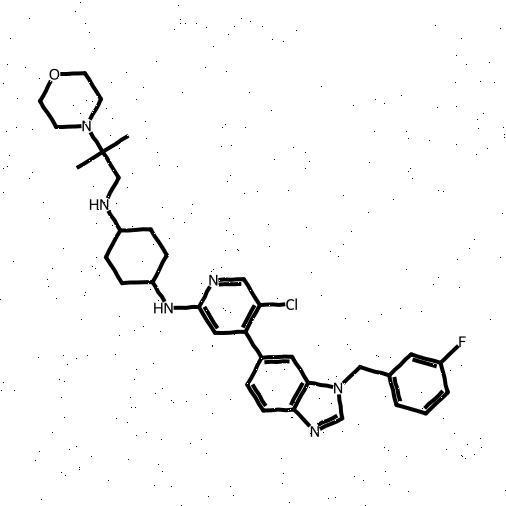 CC(C)(CNC1CCC(Nc2cc(-c3ccc4ncn(Cc5cccc(F)c5)c4c3)c(Cl)cn2)CC1)N1CCOCC1